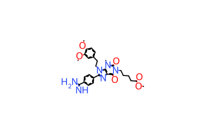 COC(=O)CCCCn1c(=O)c2nc(-c3ccc(C(=N)N)cc3)n(CCc3ccc(OC)c(OC)c3)c2n(C)c1=O